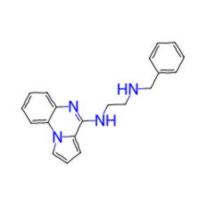 c1ccc(CNCCNc2nc3ccccc3n3cccc23)cc1